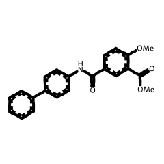 COC(=O)c1cc(C(=O)Nc2ccc(-c3ccccc3)cc2)ccc1OC